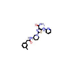 Cc1cccc(CC(=O)N[C@@H]2CCCN(c3nc(C(N)=O)c(Nc4ccccn4)s3)C2)c1